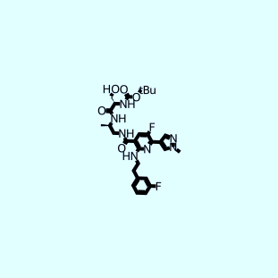 C[C@H](CNC(=O)c1cc(F)c(-c2cnn(C)c2)nc1NCCc1cccc(F)c1)NC(=O)[C@H](CO)NC(=O)OC(C)(C)C